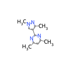 Cc1cc(C)nc(-c2cn(C)nc2C)n1